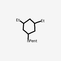 CCCCCC1CC(CC)CC(CC)C1